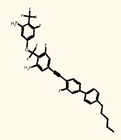 CCCCCc1ccc(-c2ccc(C#Cc3cc(F)c(C(F)(F)Oc4cc(F)c(C(F)(F)F)c(P)c4)c(P)c3)c(F)c2)cc1